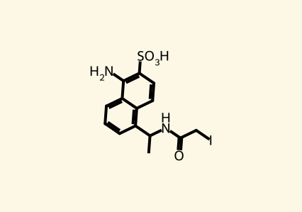 CC(NC(=O)CI)c1cccc2c(N)c(S(=O)(=O)O)ccc12